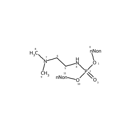 CCCCCCCCCOP(=O)(NCCN(C)C)OCCCCCCCCC